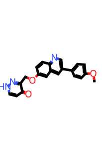 COc1ccc(-c2cnc3ccc(OCc4n[nH]ccc4=O)cc3c2)cc1